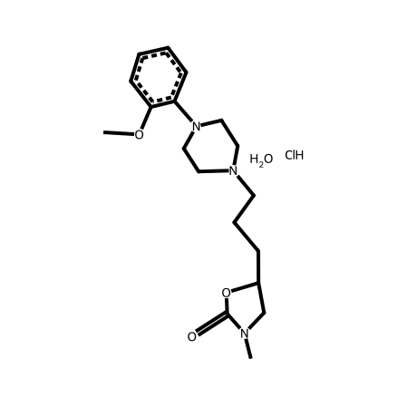 COc1ccccc1N1CCN(CCCC2CN(C)C(=O)O2)CC1.Cl.O